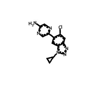 Nc1cnc(-c2cc3c(cc2Cl)nnn3C2CC2)cn1